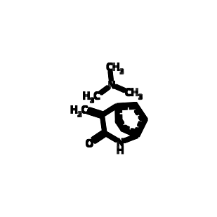 C=C1C(=O)Nc2ccc1cc2.CN(C)C